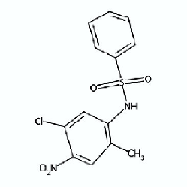 Cc1cc([N+](=O)[O-])c(Cl)cc1NS(=O)(=O)c1ccccc1